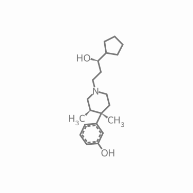 C[C@H]1CN(CC[C@@H](O)C2CCCC2)CC[C@]1(C)c1cccc(O)c1